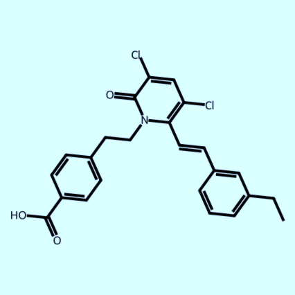 CCc1cccc(/C=C/c2c(Cl)cc(Cl)c(=O)n2CCc2ccc(C(=O)O)cc2)c1